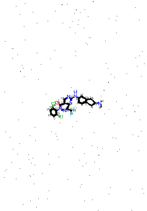 CN(C)C1Cc2ccc(Nc3ncc4c(=O)n(-c5c(Cl)cccc5Cl)nc(C(F)F)c4n3)cc2C1